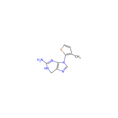 Cc1ccsc1-n1cnc2c1N=C(N)NC2